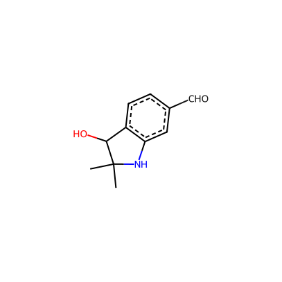 CC1(C)Nc2cc(C=O)ccc2C1O